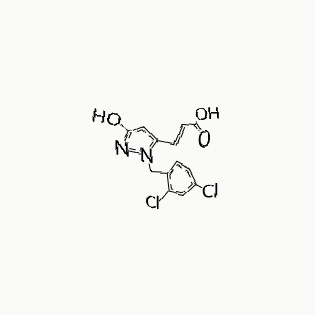 O=C(O)/C=C/c1cc(O)nn1Cc1ccc(Cl)cc1Cl